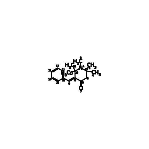 CN1C(C)(C)CC(=O)C(=Cc2ccccc2)C1(C)C